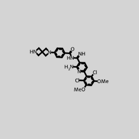 COc1cc(OC)c(Cl)c(-c2ccc(C(=N)NC(=O)c3ccc(N4CC5(CNC5)C4)cc3)c(N)n2)c1Cl